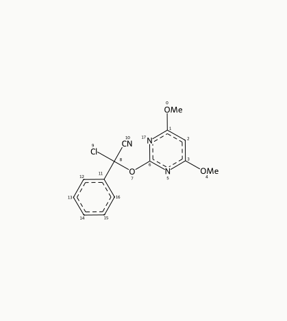 COc1cc(OC)nc(OC(Cl)(C#N)c2ccccc2)n1